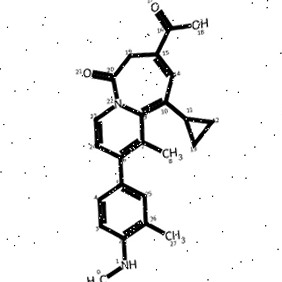 CNc1ccc(C2=C(C)C3=C(C4CC4)C=C(C(=O)O)CC(=O)N3C=C2)cc1C